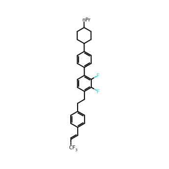 CCCC1CCC(c2ccc(-c3ccc(CCc4ccc(/C=C/C(F)(F)F)cc4)c(F)c3F)cc2)CC1